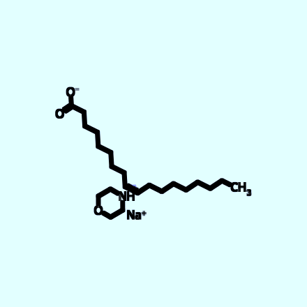 C1COCCN1.CCCCCCCC/C=C\CCCCCCCC(=O)[O-].[Na+]